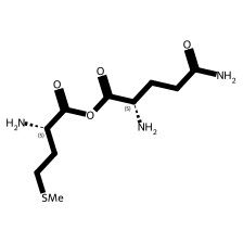 CSCC[C@H](N)C(=O)OC(=O)[C@@H](N)CCC(N)=O